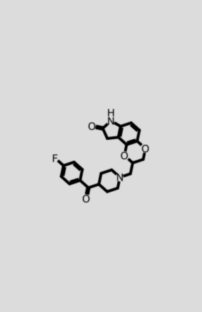 O=C1Cc2c(ccc3c2OC(CN2CCC(C(=O)c4ccc(F)cc4)CC2)CO3)N1